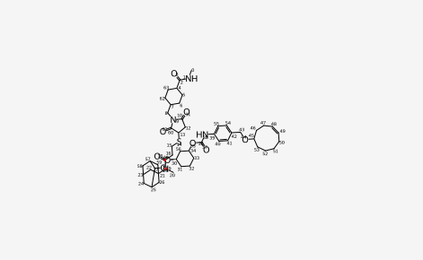 CNC(=O)C1CCC(CN2C(=O)CC(SCCC(=O)N(C)C34CC5CC(C3)C(OO[C@@H]3CCCC(OC(=O)Nc6ccc(COC7CC/C=C\CCCC7)cc6)C3)C(C5)C4)C2=O)CC1